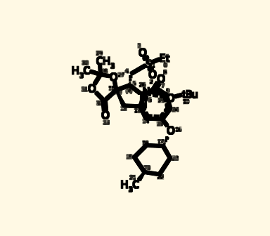 CCS(=O)(=O)C[C@H](NC(=O)OC(C)(C)C)[C@@]1(Cc2cc(O[C@H]3CC[C@H](C)CC3)ccn2)OC(C)(C)OC1=O